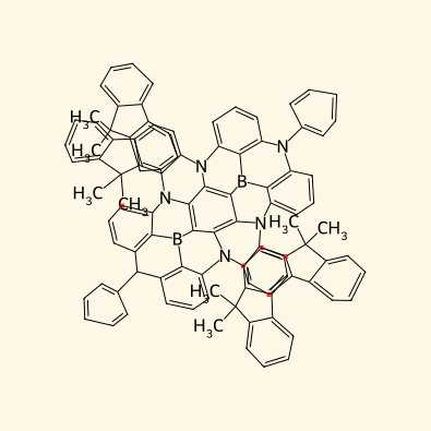 CC1(C)c2ccccc2-c2ccc(N3c4cccc5c4B4c6c(cccc6N(c6ccc7c(c6)C(C)(C)c6ccccc6-7)c6c4c3c3c4c6N(c6ccc7c(c6)C(C)(C)c6ccccc6-7)c6cccc7c6B4c4c(cccc4N3c3ccc4c(c3)C(C)(C)c3ccccc3-4)N7c3ccccc3)C5c3ccccc3)cc21